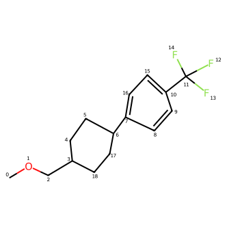 COCC1CCC(c2ccc(C(F)(F)F)cc2)CC1